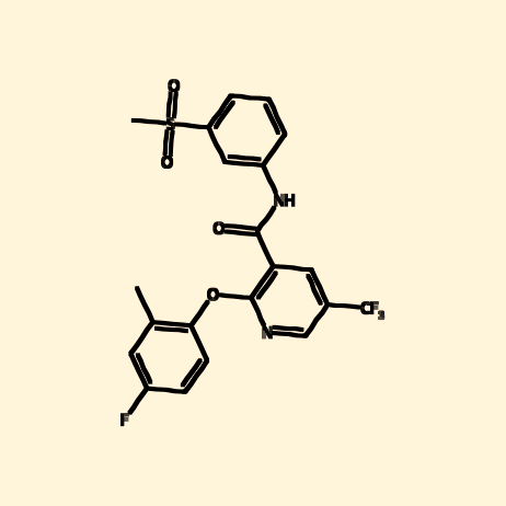 Cc1cc(F)ccc1Oc1ncc(C(F)(F)F)cc1C(=O)Nc1cccc(S(C)(=O)=O)c1